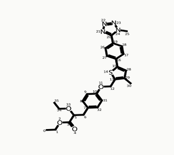 CCOC(=O)C(Cc1ccc(OCc2sc(-c3ccc(-c4nnnn4C)cc3)cc2C)cc1)OCC